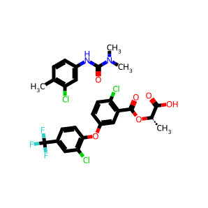 C[C@H](OC(=O)c1cc(Oc2ccc(C(F)(F)F)cc2Cl)ccc1Cl)C(=O)O.Cc1ccc(NC(=O)N(C)C)cc1Cl